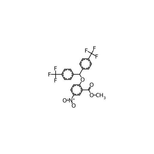 COC(=O)c1cc([N+](=O)[O-])ccc1OC(c1ccc(C(F)(F)F)cc1)c1ccc(C(F)(F)F)cc1